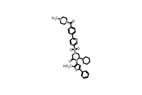 CN1CCN(C(=O)c2ccc(-c3ccc(S(=O)(=O)N4CC(=O)N(c5cc(-c6ccccc6)sc5C(=O)O)C(C5CCCCC5)C4)cn3)cc2)CC1